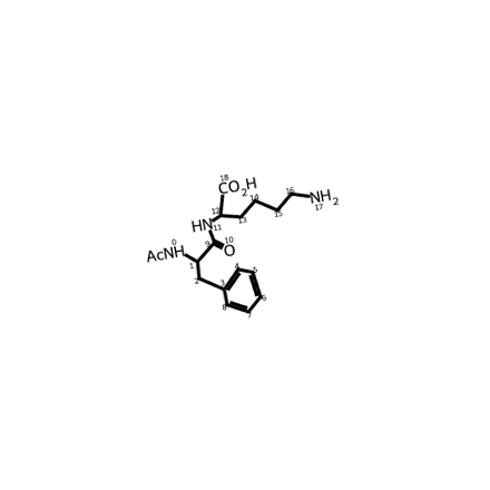 CC(=O)NC(Cc1ccccc1)C(=O)NC(CCCCN)C(=O)O